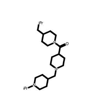 CC(C)CC1CCN(C(=O)C2CCN(CC3CCN(C(C)C)CC3)CC2)CC1